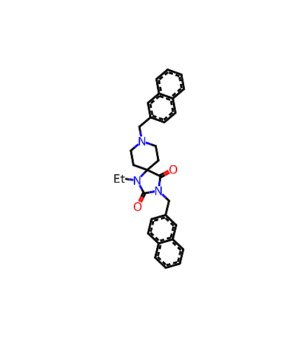 CCN1C(=O)N(Cc2ccc3ccccc3c2)C(=O)C12CCN(Cc1ccc3ccccc3c1)CC2